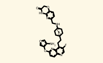 Nc1cocc1Oc1ccc2ncc(F)c(CCC34CCC(NCc5ccc6c(n5)NC(=O)CO6)(CC3)CO4)c2n1